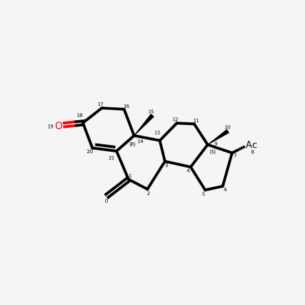 C=C1CC2C3CCC(C(C)=O)[C@@]3(C)CCC2[C@@]2(C)CCC(=O)C=C12